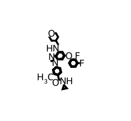 Cc1cc(-n2cnc3c(NCC4CCOCC4)cc(Oc4cccc(F)c4F)cc32)ccc1C(=O)NC1CC1